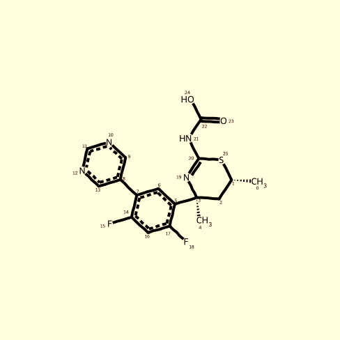 C[C@@H]1C[C@@](C)(c2cc(-c3cncnc3)c(F)cc2F)N=C(NC(=O)O)S1